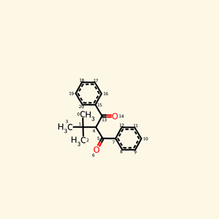 CC(C)(C)C(C(=O)c1ccccc1)C(=O)c1ccccc1